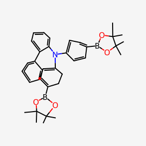 CC1(C)OB(C2=CC=C(N(c3ccc(B4OC(C)(C)C(C)(C)O4)cc3)c3ccccc3C3=C=C=CC=C3)CC2)OC1(C)C